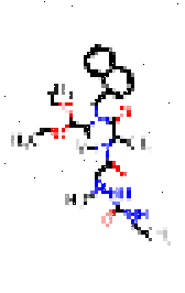 CCNC(=O)NN(C)CC(=O)NC(C)C(=O)N(Cc1cccc2ccccc12)C(C)C(OCC)OCC